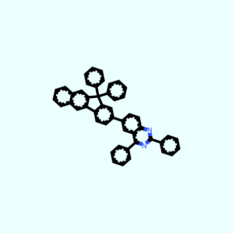 c1ccc(-c2nc(-c3ccccc3)c3cc(-c4ccc5c(c4)C(c4ccccc4)(c4ccccc4)c4cc6ccccc6cc4-5)ccc3n2)cc1